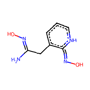 NC(Cc1ccc[nH]c1=NO)=NO